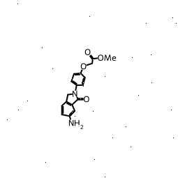 COC(=O)COc1ccc(N2Cc3ccc(N)cc3C2=O)cc1